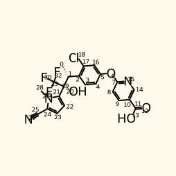 C[C@H](c1ccc(Oc2ccc(C(=O)O)cn2)cc1Cl)[C@@](O)(c1ccc(C#N)n1C)C(F)(F)F